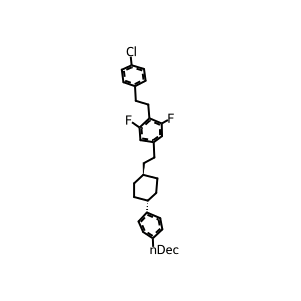 CCCCCCCCCCc1ccc([C@H]2CC[C@H](CCc3cc(F)c(CCc4ccc(Cl)cc4)c(F)c3)CC2)cc1